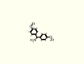 CCOc1ccc(C(N)c2ccc(OCC)cc2)cc1